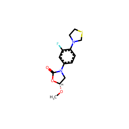 CO[C@H]1CN(c2ccc(N3CCSC3)c(F)c2)C(=O)O1